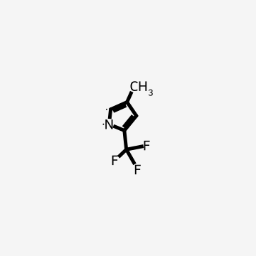 CC1=[C][N]C(C(F)(F)F)=C1